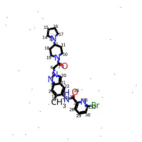 Cc1cc2nn(CC(=O)N3CCC(N4CCCC4)CC3)cc2cc1NC(=O)c1cccc(Br)n1